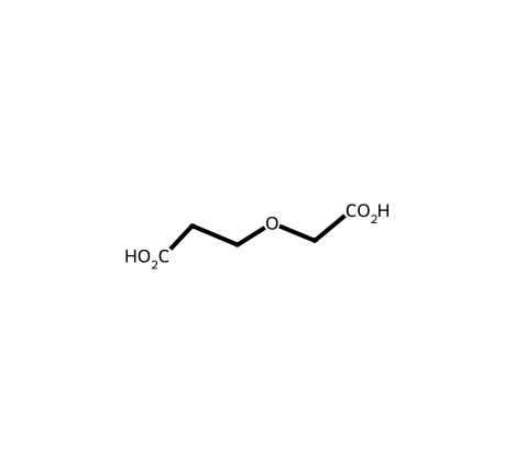 O=C(O)CCOCC(=O)O